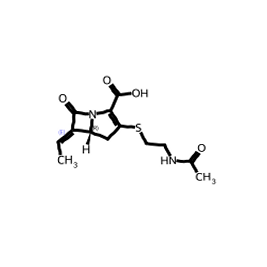 C/C=C1/C(=O)N2C(C(=O)O)=C(SCCNC(C)=O)C[C@H]12